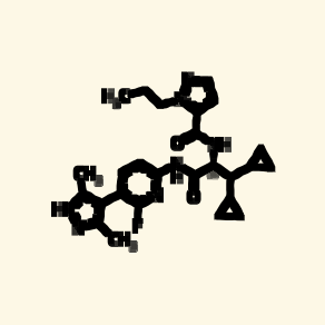 CCCn1nccc1C(=O)N[C@H](C(=O)Nc1ccc(-c2c(C)n[nH]c2C)c(F)n1)C(C1CC1)C1CC1